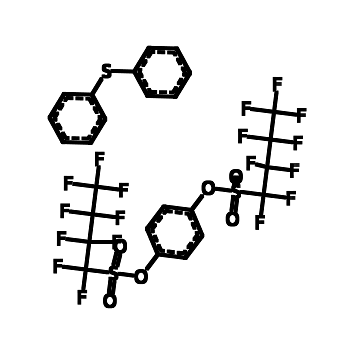 O=S(=O)(Oc1ccc(OS(=O)(=O)C(F)(F)C(F)(F)C(F)(F)C(F)(F)F)cc1)C(F)(F)C(F)(F)C(F)(F)C(F)(F)F.c1ccc(Sc2ccccc2)cc1